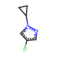 Clc1cnn(C2CC2)c1